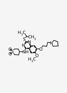 COc1cc2c(NC3CCS(=O)(=O)CC3)nc(SC(C)C)nc2cc1OCCCN1CCCC1